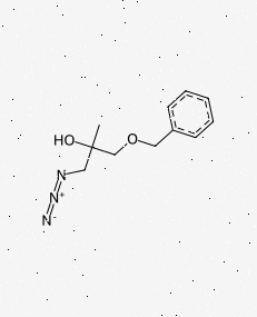 CC(O)(CN=[N+]=[N-])COCc1ccccc1